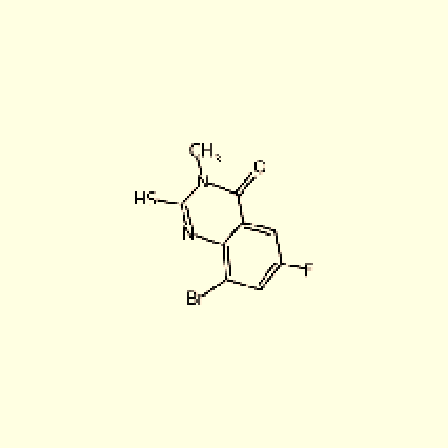 Cn1c(S)nc2c(Br)cc(F)cc2c1=O